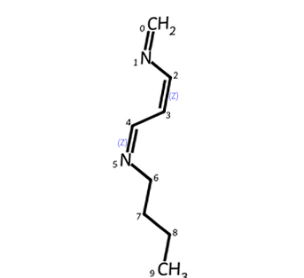 C=N/C=C\C=N/CCCC